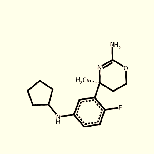 C[C@@]1(c2cc(NC3CCCC3)ccc2F)CCOC(N)=N1